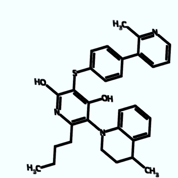 CCCCc1nc(O)c(Sc2ccc(-c3cccnc3C)cc2)c(O)c1N1CCC(C)c2ccccc21